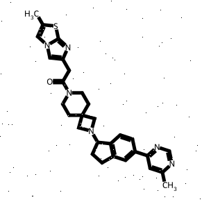 Cc1cc(-c2ccc3c(c2)CCC3N2CC3(CCN(C(=O)Cc4cn5cc(C)sc5n4)CC3)C2)ncn1